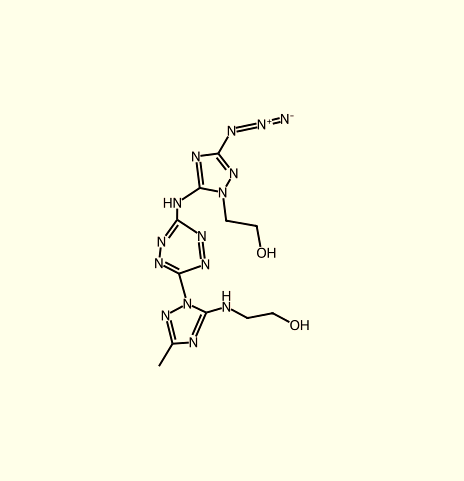 Cc1nc(NCCO)n(-c2nnc(Nc3nc(N=[N+]=[N-])nn3CCO)nn2)n1